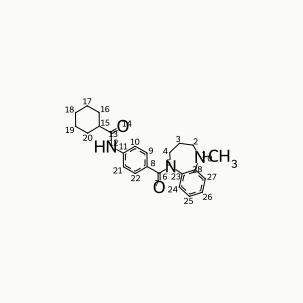 CN1CCCN(C(=O)c2ccc(NC(=O)C3CCCCC3)cc2)c2ccccc21